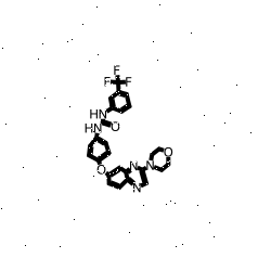 O=C(Nc1ccc(Oc2ccc3ncc(N4CCOCC4)nc3c2)cc1)Nc1cccc(C(F)(F)F)c1